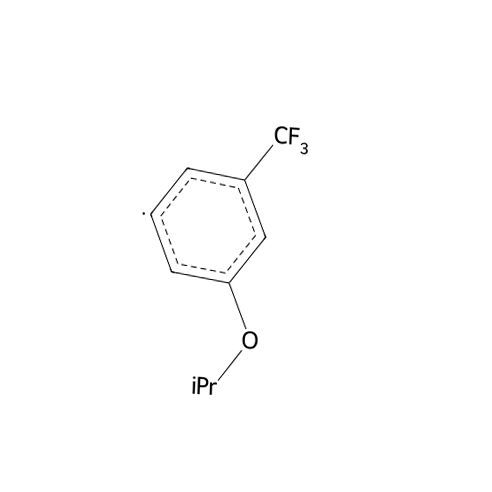 CC(C)Oc1c[c]cc(C(F)(F)F)c1